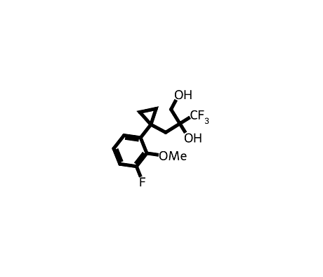 COc1c(F)cccc1C1(CC(O)(CO)C(F)(F)F)CC1